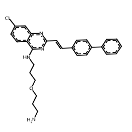 NCCCOCCCNc1nc(/C=C/c2ccc(-c3ccccc3)cc2)nc2cc(Cl)ccc12